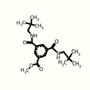 COC(=O)c1cc(C(=O)NCC(C)(C)C)cc(C(=O)NCC(C)(C)C)c1